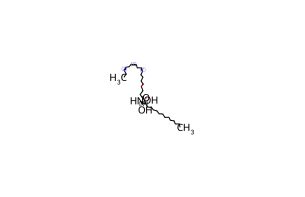 CC/C=C\C/C=C\C/C=C\CCCCCCCC(=O)N[C@@H](CO)[C@H](O)CCCCCCCCCCCCC